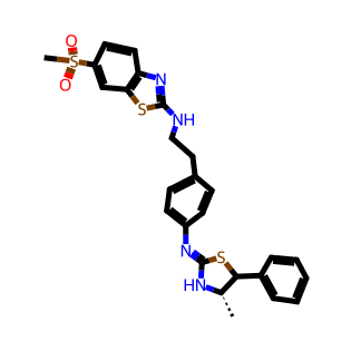 C[C@@H]1N/C(=N/c2ccc(CCNc3nc4ccc(S(C)(=O)=O)cc4s3)cc2)SC1c1ccccc1